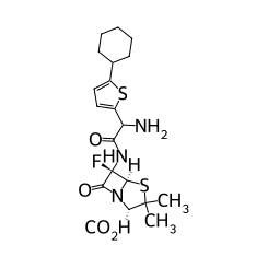 CC1(C)S[C@H]2N(C(=O)[C@]2(F)NC(=O)C(N)c2ccc(C3CCCCC3)s2)[C@H]1C(=O)O